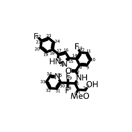 COC(CO)C(NC(=O)c1cccc(F)c1-c1cc(-c2ccc(F)cc2)[nH]n1)C(F)(F)c1ccccn1